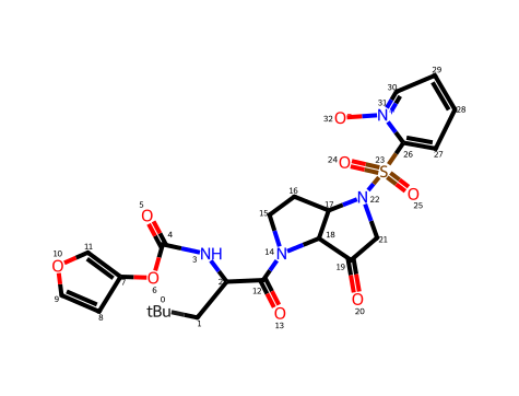 CC(C)(C)CC(NC(=O)Oc1ccoc1)C(=O)N1CCC2C1C(=O)CN2S(=O)(=O)c1cccc[n+]1[O-]